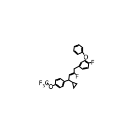 F/C(=C\C(c1ccc(OC(F)(F)F)cc1)C1CC1)Cc1ccc(F)c(Oc2ccccc2)c1